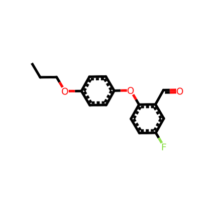 CCCOc1ccc(Oc2ccc(F)cc2C=O)cc1